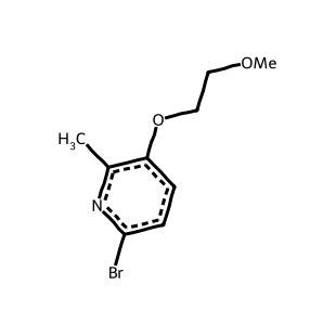 COCCOc1ccc(Br)nc1C